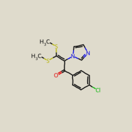 CSC(SC)=C(C(=O)c1ccc(Cl)cc1)n1ccnc1